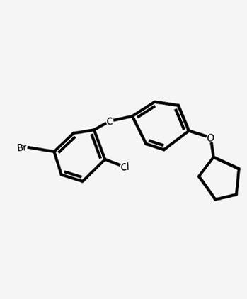 Clc1ccc(Br)cc1Cc1ccc(OC2CCCC2)cc1